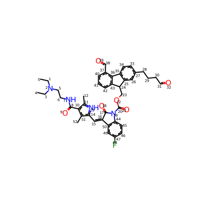 CCN(CC)CCNC(=O)c1c(C)[nH]c(/C=C2\C(=O)N(C(=O)OCC3c4cc(CCCC=O)ccc4-c4c(C=O)cccc43)c3ccc(F)cc32)c1C